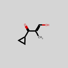 C/C(=C\O)C(=O)C1CC1